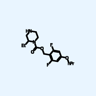 CCCOc1cc(F)c(COC(=O)N2CCNCC2CC)c(F)c1